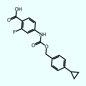 O=C(Nc1ccc(C(=O)O)c(F)c1)OCc1ccc(C2CC2)cc1